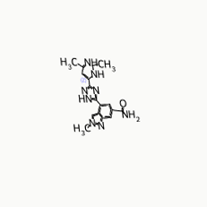 CCN/C(=C\C(C)=N)c1n[nH]c(-c2cc(C(N)=O)cc3nn(C)cc23)n1